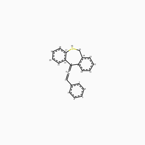 C(=Cc1ccccc1)=C1c2ccccc2CSc2ccccc21